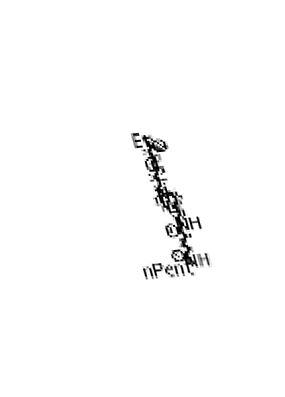 CCCCCNC(=O)CCCC(=O)NCCN1CCN(CCCCOCCC(=O)CC)CC1